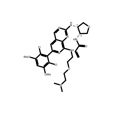 C=CC(=O)N[C@H]1COC[C@H]1Nc1ncc2cc(-c3c(Cl)c(OC)cc(OC)c3Cl)nc(NCCOCCN(C)C)c2n1